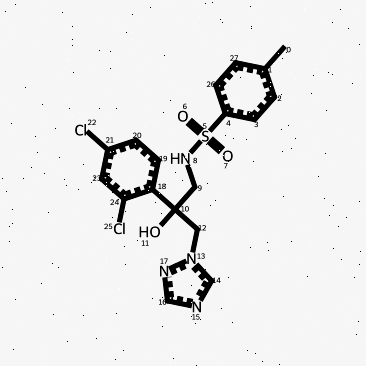 Cc1ccc(S(=O)(=O)NCC(O)(Cn2cncn2)c2ccc(Cl)cc2Cl)cc1